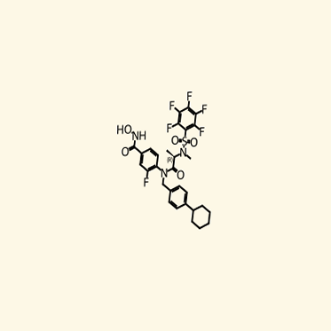 C[C@H](C(=O)N(Cc1ccc(C2CCCCC2)cc1)c1ccc(C(=O)NO)cc1F)N(C)S(=O)(=O)c1c(F)c(F)c(F)c(F)c1F